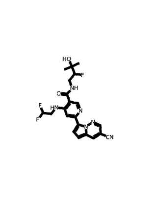 CC(C)(O)C(F)CNC(=O)c1cnc(-c2ccc3cc(C#N)cnn23)cc1NCC(F)F